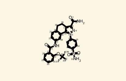 NC(=O)c1nn(-c2ccc(S(N)(=O)=O)cc2)c2c1CCc1ccc(NC(=O)c3ccccc3OC(F)(F)F)cc1-2